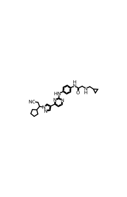 N#CCC(C1CCCC1)n1cc(-c2ccnc(Nc3ccc(NC(=O)CNCC4CC4)cc3)n2)cn1